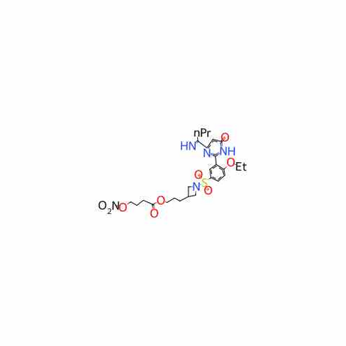 CCCC(=N)c1cc(=O)[nH]c(-c2cc(S(=O)(=O)N3CC(CCCOC(=O)CCCO[N+](=O)[O-])C3)ccc2OCC)n1